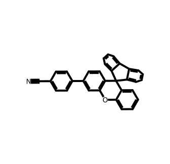 N#Cc1ccc(-c2ccc3c(c2)Oc2ccccc2C32c3ccccc3-c3ccccc32)cc1